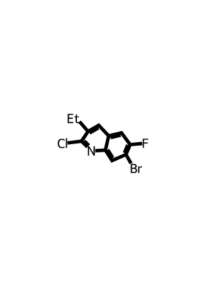 CCc1cc2cc(F)c(Br)cc2nc1Cl